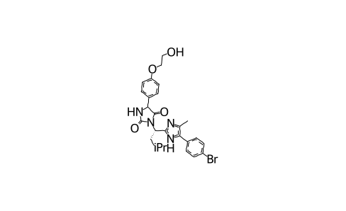 Cc1nc([C@H](CC(C)C)N2C(=O)NC(c3ccc(OCCO)cc3)C2=O)[nH]c1-c1ccc(Br)cc1